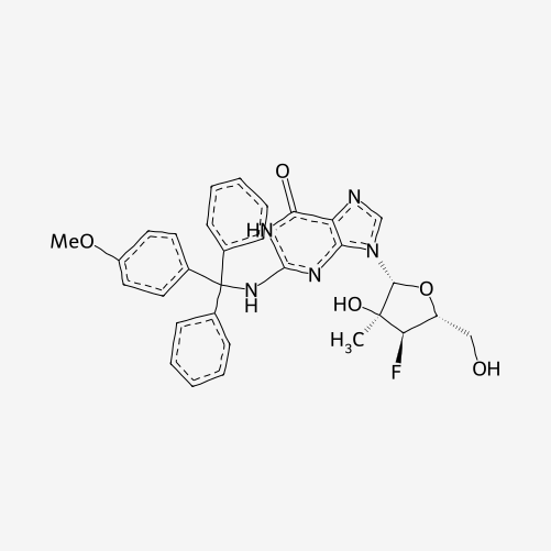 COc1ccc(C(Nc2nc3c(ncn3[C@@H]3O[C@H](CO)[C@@H](F)[C@@]3(C)O)c(=O)[nH]2)(c2ccccc2)c2ccccc2)cc1